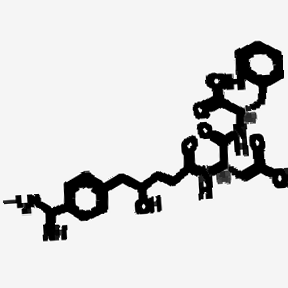 N=C(N)c1ccc(CC(O)CCC(=O)N[C@@H](CC(=O)O)C(=O)N[C@@H](Cc2ccccc2)C(=O)O)cc1